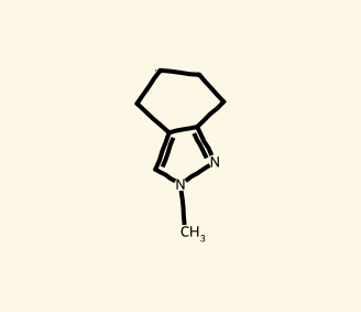 Cn1cc2c(n1)CC[CH]C2